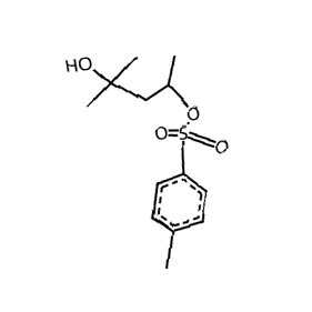 Cc1ccc(S(=O)(=O)OC(C)CC(C)(C)O)cc1